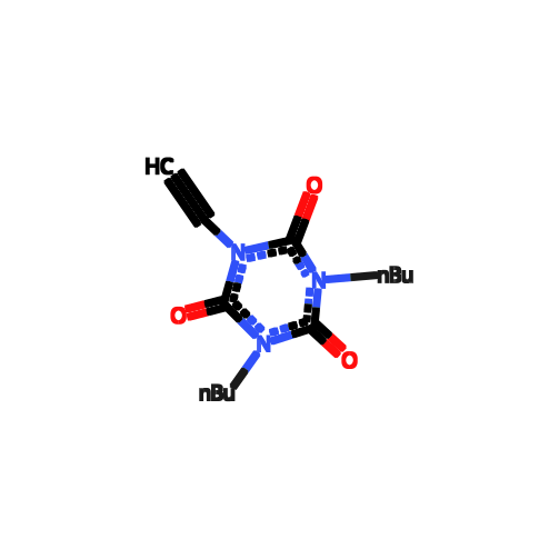 C#Cn1c(=O)n(CCCC)c(=O)n(CCCC)c1=O